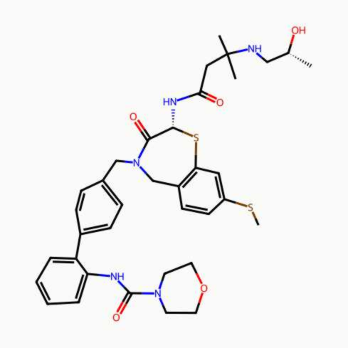 CSc1ccc2c(c1)S[C@@H](NC(=O)CC(C)(C)NC[C@@H](C)O)C(=O)N(Cc1ccc(-c3ccccc3NC(=O)N3CCOCC3)cc1)C2